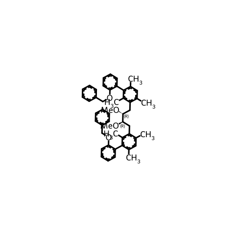 CO[C@H](Cc1c(C)cc(C)c(-c2ccccc2OCc2ccccc2)c1C)[C@@H](Cc1c(C)cc(C)c(-c2ccccc2OCc2ccccc2)c1C)OC